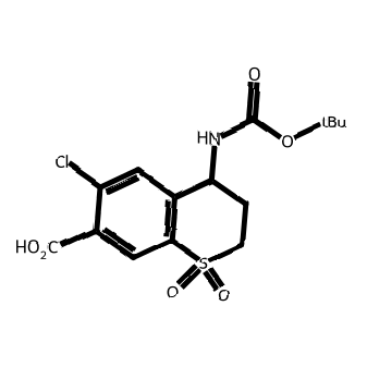 CC(C)(C)OC(=O)NC1CCS(=O)(=O)c2cc(C(=O)O)c(Cl)cc21